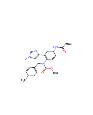 C=CC(=O)Nc1ccc(N(Cc2ccc(C(F)(F)F)cc2)C(=O)OC(C)(C)C)c(-c2cn(C)cn2)c1